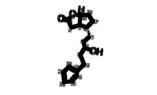 O=C1CC2[C@@H](CCC(O)CCc3ccccc3)CC[C@H]2O1